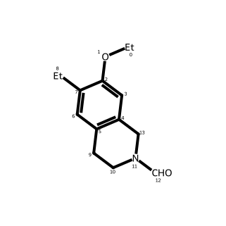 CCOc1cc2c(cc1CC)CCN(C=O)C2